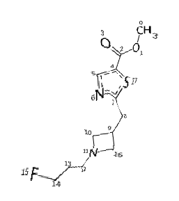 COC(=O)c1cnc(CC2CN(CCCF)C2)s1